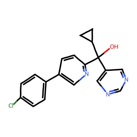 OC(c1cncnc1)(c1ccc(-c2ccc(Cl)cc2)cn1)C1CC1